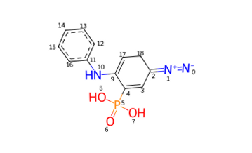 [N-]=[N+]=C1C=C(P(=O)(O)O)C(Nc2ccccc2)=CC1